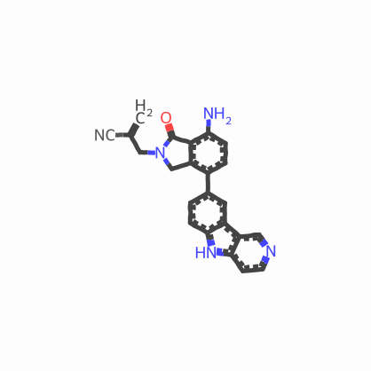 C=C(C#N)CN1Cc2c(-c3ccc4[nH]c5ccncc5c4c3)ccc(N)c2C1=O